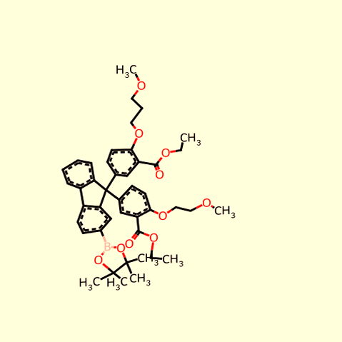 CCOC(=O)c1cc(C2(c3ccc(OCCOC)c(C(=O)OCC)c3)c3ccccc3-c3ccc(B4OC(C)(C)C(C)(C)O4)cc32)ccc1OCCCOC